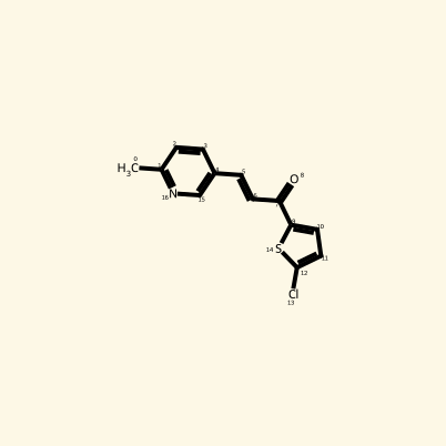 Cc1ccc(/C=C/C(=O)c2ccc(Cl)s2)cn1